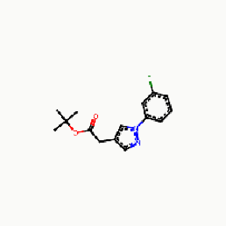 CC(C)(C)OC(=O)Cc1cnn(-c2cccc(F)c2)c1